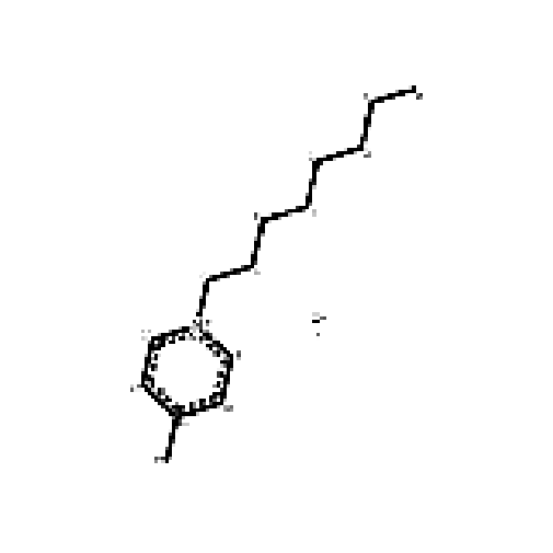 CCCCCCCC[n+]1ccc(C)cc1.[F-]